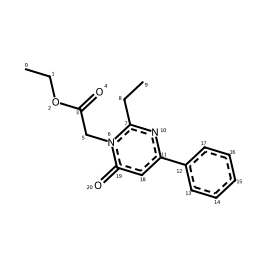 CCOC(=O)Cn1c(CC)nc(-c2ccccc2)cc1=O